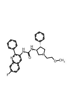 COCCN1C[C@@H](NC(=O)Nc2cc3ccc(F)cc3nc2-c2ccccc2)[C@H](c2ccccc2)C1